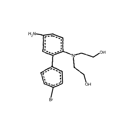 Nc1ccc(N(CCO)CCO)c(-c2ccc(Br)cc2)c1